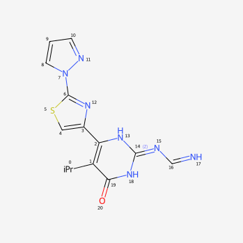 CC(C)c1c(-c2csc(-n3cccn3)n2)[nH]/c(=N/C=N)[nH]c1=O